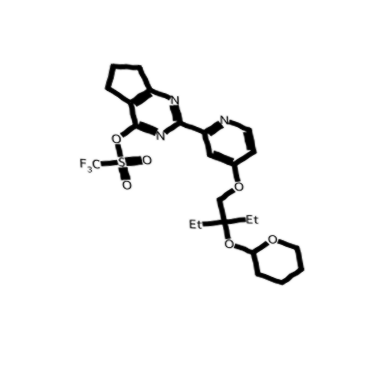 CCC(CC)(COc1ccnc(-c2nc3c(c(OS(=O)(=O)C(F)(F)F)n2)CCC3)c1)OC1CCCCO1